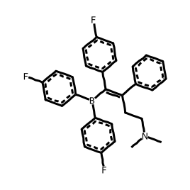 CN(C)CC/C(=C(\B(c1ccc(F)cc1)c1ccc(F)cc1)c1ccc(F)cc1)c1ccccc1